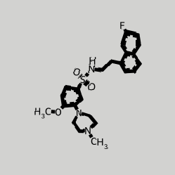 COc1ccc(S(=O)(=O)NCCc2cccc3ccc(F)cc23)cc1N1CCN(C)CC1